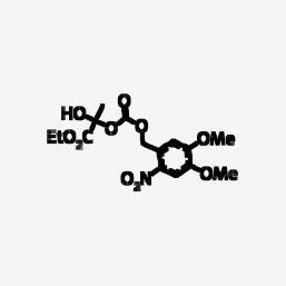 CCOC(=O)C(C)(O)OC(=O)OCc1cc(OC)c(OC)cc1[N+](=O)[O-]